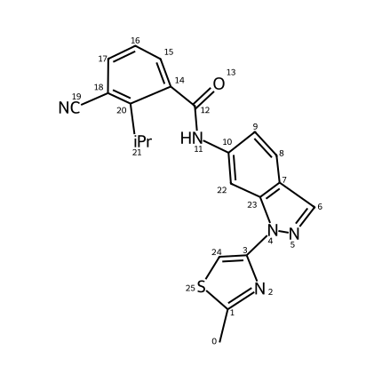 Cc1nc(-n2ncc3ccc(NC(=O)c4cccc(C#N)c4C(C)C)cc32)cs1